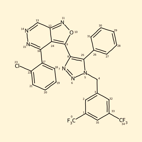 FC(F)(F)c1cc(Cn2nnc(-c3onc4cnnc(-c5ccccc5Cl)c34)c2-c2ccccc2)cc(C(F)(F)F)c1